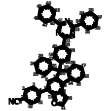 N#Cc1ccc(-c2cc3c(c4ccoc24)-c2ccccc2C3(c2ccccc2)c2ccc(-c3nc(-c4ccccc4)nc(-c4ccccc4)n3)cc2)cc1